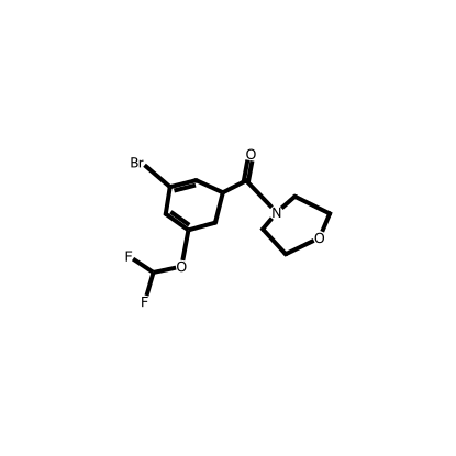 O=C(C1C=C(Br)C=C(OC(F)F)C1)N1CCOCC1